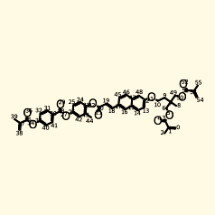 C=C(C)C(=O)OCC(C)(CCOc1ccc2cc(/C=C/C(=O)Oc3ccc(OC(=O)c4ccc(OC(=O)C(=C)C)cc4)cc3C)ccc2c1)COC(=O)C(=C)C